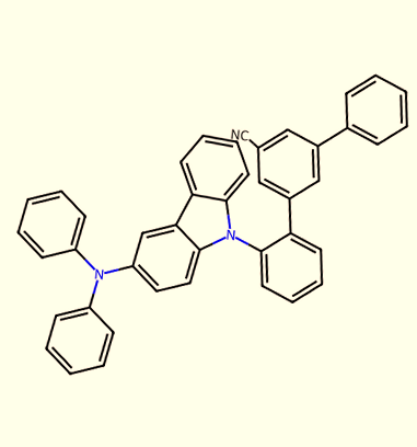 N#Cc1cc(-c2ccccc2)cc(-c2ccccc2-n2c3ccccc3c3cc(N(c4ccccc4)c4ccccc4)ccc32)c1